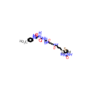 O=C(CCCC[C@@H]1SC[C@@H]2NC(=O)N[C@@H]21)NCCCCCC(=O)NCCNC(=O)Nc1c[n+](-c2ccc(C(=O)O)cc2)no1